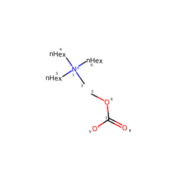 CCCCCC[N+](C)(CCCCCC)CCCCCC.COC(=O)[O-]